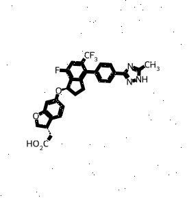 Cc1nc(-c2ccc(-c3c(C(F)(F)F)cc(F)c4c3CC[C@H]4Oc3ccc4c(c3)OC[C@H]4CC(=O)O)cc2)n[nH]1